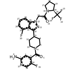 Nc1cc(C(=O)N2CCC(c3nn(CC(=O)N4CCC[C@H]4C(F)(F)F)c4cccc(F)c34)CC2)c(F)cn1